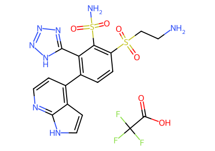 NCCS(=O)(=O)c1ccc(-c2ccnc3[nH]ccc23)c(-c2nnn[nH]2)c1S(N)(=O)=O.O=C(O)C(F)(F)F